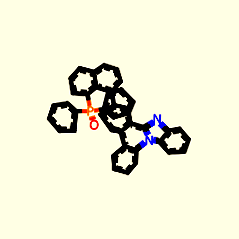 O=P(c1ccccc1)(c1ccccc1)c1cccc2cccc(-c3ccc4c5ccccc5n5c6ccccc6nc5c4c3)c12